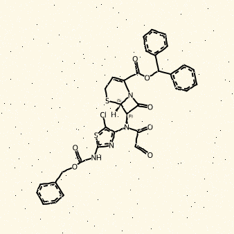 O=CC(=O)N(c1nc(NC(=O)OCc2ccccc2)sc1Cl)[C@@H]1C(=O)N2C(C(=O)OC(c3ccccc3)c3ccccc3)=CCS[C@@H]12